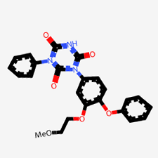 COCCOc1cc(-n2c(=O)[nH]c(=O)n(-c3ccccc3)c2=O)ccc1Oc1ccccc1